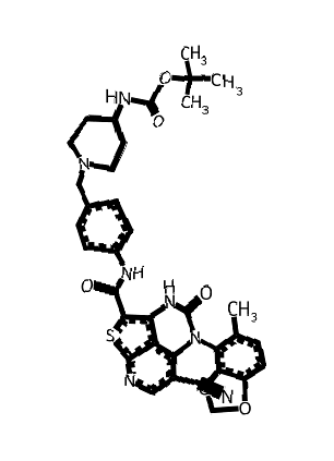 Cc1ccc2c(c1N1C(=O)Nc3c(C(=O)Nc4ccc(CN5CCC(NC(=O)OC(C)(C)C)CC5)cc4)sc4ncc(C#N)c1c34)OCO2